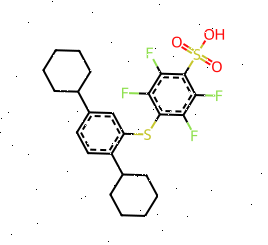 O=S(=O)(O)c1c(F)c(F)c(Sc2cc(C3CCCCC3)ccc2C2CCCCC2)c(F)c1F